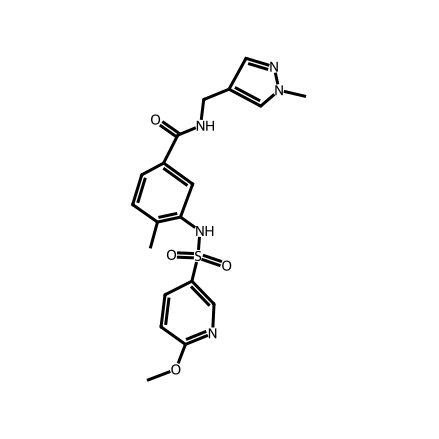 COc1ccc(S(=O)(=O)Nc2cc(C(=O)NCc3cnn(C)c3)ccc2C)cn1